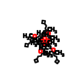 CC(CCC1CCC1)OCCC(C)(C)OC(OC(C)COC(C)(C)CCC1CCC1)(OC(C)(C)CCOC(C)(C)CCC1CCC1)OC(C)(C)CCOC(C)(C)CCC1CCC1